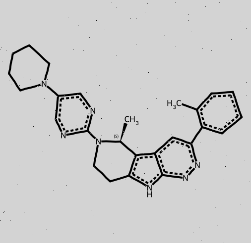 Cc1ccccc1-c1cc2c3c([nH]c2nn1)CCN(c1ncc(N2CCCCC2)cn1)[C@H]3C